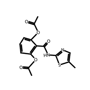 CC(=O)Oc1cccc(OC(C)=O)c1C(=O)Nc1ncc(C)s1